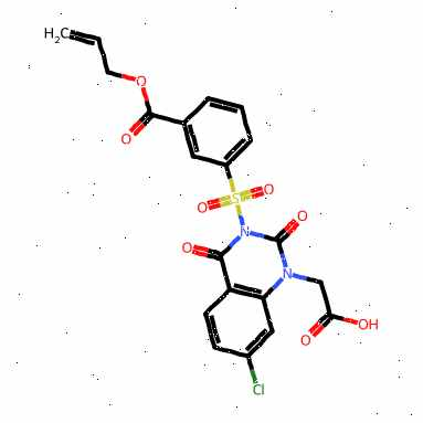 C=CCOC(=O)c1cccc(S(=O)(=O)n2c(=O)c3ccc(Cl)cc3n(CC(=O)O)c2=O)c1